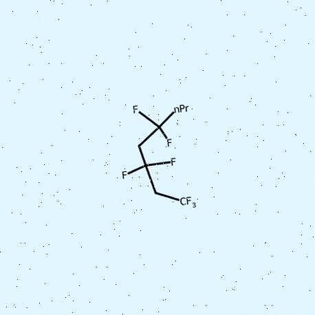 CCCC(F)(F)CC(F)(F)CC(F)(F)F